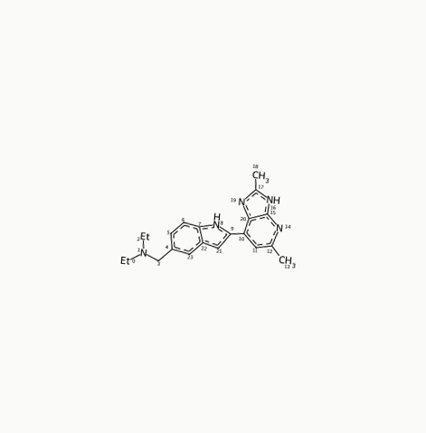 CCN(CC)Cc1ccc2[nH]c(-c3cc(C)nc4[nH]c(C)nc34)cc2c1